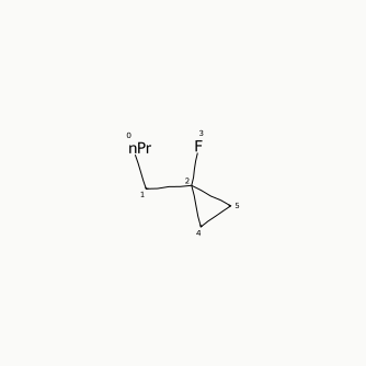 [CH2]CCCC1(F)CC1